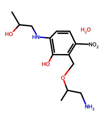 CC(O)CNc1ccc([N+](=O)[O-])c(COC(C)CN)c1O.O